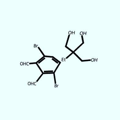 CCC(CO)(CO)CO.O=Cc1c(Br)ccc(Br)c1C=O